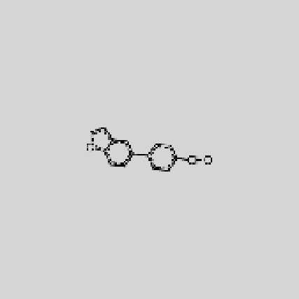 O=Cc1ccc(-c2ccc3occc3c2)cc1